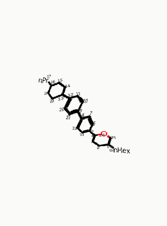 CCCCCCC1CCC(c2ccc(-c3ccc(C4CCC(CCC)CC4)cc3)cc2)OC1